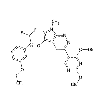 Cn1nc(O[C@H](c2cccc(OCC(F)(F)F)c2)C(F)F)c2cc(-c3cnc(OC(C)(C)C)nc3OC(C)(C)C)nnc21